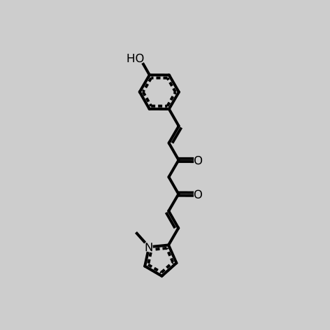 Cn1cccc1/C=C/C(=O)CC(=O)/C=C/c1ccc(O)cc1